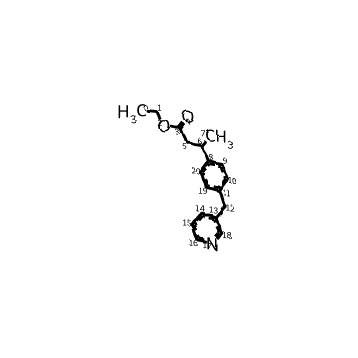 CCOC(=O)CC(C)c1ccc(Cc2cccnc2)cc1